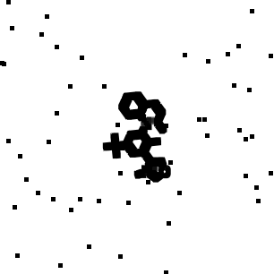 Cc1c(-c2coc[n+]2C)cc(C(C)(C)C)cc1-[n+]1c(C)ccc2ccccc21